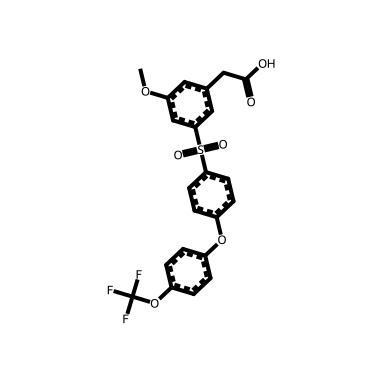 COc1cc(CC(=O)O)cc(S(=O)(=O)c2ccc(Oc3ccc(OC(F)(F)F)cc3)cc2)c1